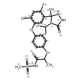 CC(Oc1ccc(Oc2cc(C3(C)NNC(=O)N3C(F)F)c(F)cc2Cl)cc1)C(=O)NS(C)(=O)=O